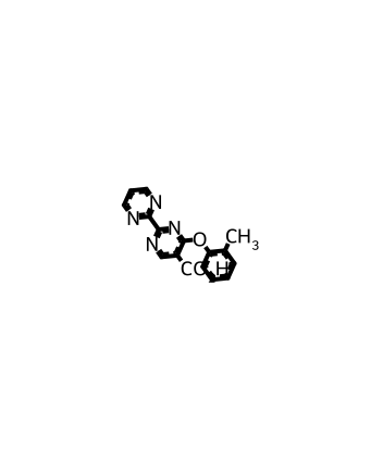 Cc1ccccc1Oc1nc(-c2ncccn2)ncc1C(=O)O